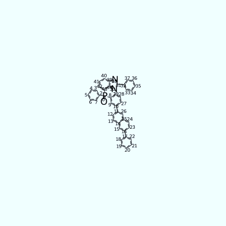 O=P1(c2ccccc2)c2cc(-c3ccc4cc(-c5ccccc5)ccc4c3)ccc2-n2c(-c3ccccc3)nc3cccc1c32